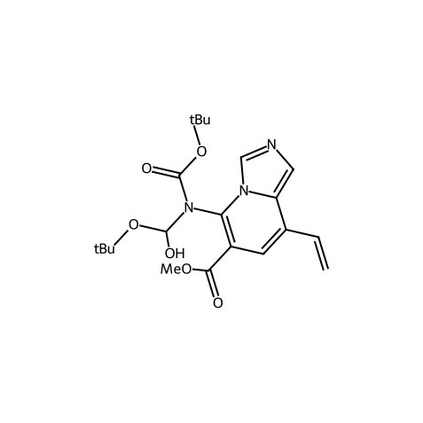 C=Cc1cc(C(=O)OC)c(N(C(=O)OC(C)(C)C)C(O)OC(C)(C)C)n2cncc12